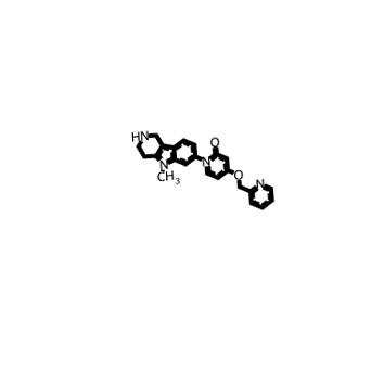 Cn1c2c(c3ccc(-n4ccc(OCc5ccccn5)cc4=O)cc31)CNCC2